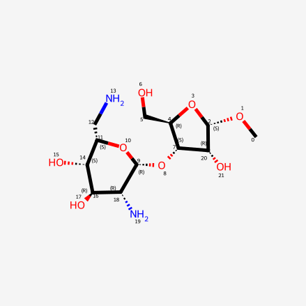 CO[C@H]1O[C@H](CO)[C@@H](O[C@H]2O[C@@H](CN)[C@@H](O)[C@H](O)[C@H]2N)[C@H]1O